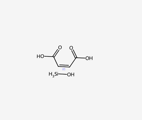 O=C(O)/C=C\C(=O)O.O[SiH3]